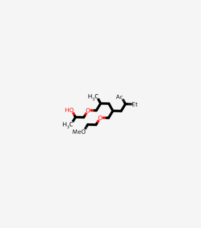 CCC(CC(COCCOC)CC(C)COCC(C)O)C(C)=O